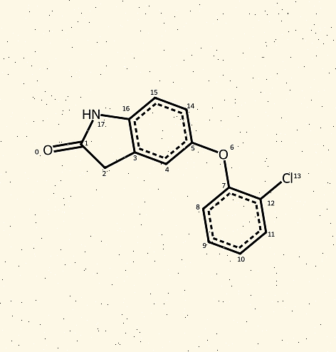 O=C1Cc2cc(Oc3ccccc3Cl)ccc2N1